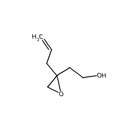 C=CCC1(CCO)CO1